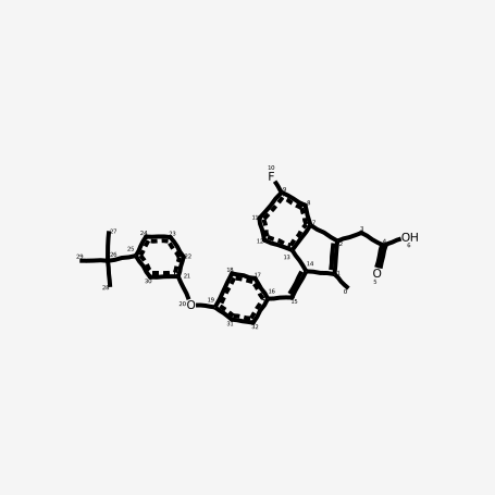 CC1=C(CC(=O)O)c2cc(F)ccc2/C1=C\c1ccc(Oc2cccc(C(C)(C)C)c2)cc1